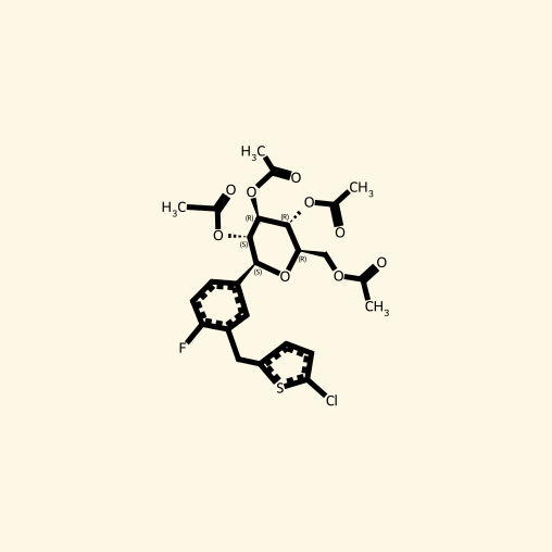 CC(=O)OC[C@H]1O[C@@H](c2ccc(F)c(Cc3ccc(Cl)s3)c2)[C@H](OC(C)=O)[C@@H](OC(C)=O)[C@@H]1OC(C)=O